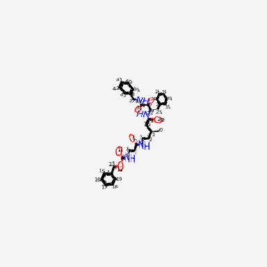 C[C@@H](CCNC(=O)CCNC(=O)OCc1ccccc1)CC(=O)N[C@@H](Cc1ccccc1)C(=O)C(=O)NCc1ccccc1